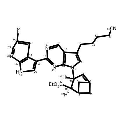 CCOC(=O)[C@@H]1C2CC(=C[C@H]1n1cc(CCCCC#N)c3cnc(-c4c[nH]c5ncc(F)cc45)nc31)C2